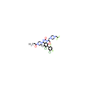 C=CC(=O)N1CCN(c2nc(=O)n3c4c(c(-c5cc(Cl)c(F)cc5F)c(Cl)cc24)OC[C@@H]3CN2CCN(CC(F)F)CC2)[C@@H](C)C1